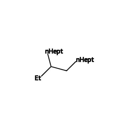 CCC[CH]CCCCC(CC)CCCCCCC